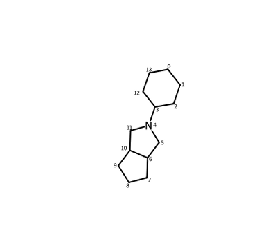 C1CCC(N2CC3CCCC3C2)CC1